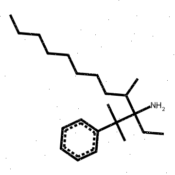 CCCCCCCCC(C)C(N)(CC)C(C)(C)c1ccccc1